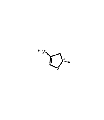 C[C@H]1CC(C(=O)O)=NO1